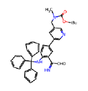 CN(Cc1cncc(-c2ccc(NC(c3ccccc3)(c3ccccc3)c3ccccc3)c(C(=N)C=O)c2)c1)C(=O)OC(C)(C)C